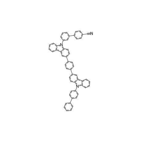 N#Cc1ccc(-c2cccc(-n3c4ccccc4c4cc(-c5ccc(-c6ccc7c(c6)c6ccccc6n7-c6ccc(-c7ccccc7)cc6)cc5)ccc43)c2)cc1